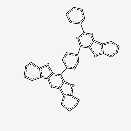 c1ccc(-c2nc(-c3ccc(-c4c5oc6ccccc6c5nc5c4oc4ccccc45)cc3)c3oc4ccccc4c3n2)cc1